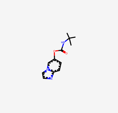 CC(C)(C)NC(=O)Oc1ccc2nccn2c1